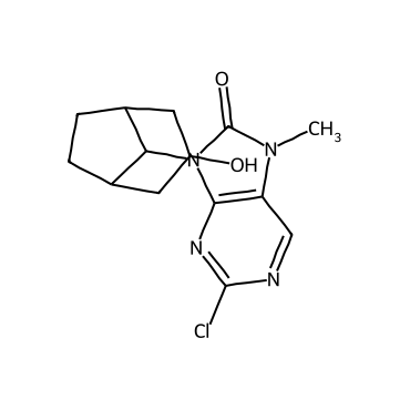 Cn1c(=O)n(C2C3CCC2CC(O)C3)c2nc(Cl)ncc21